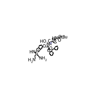 CC(C)(C)OC(=O)Nc1nc(/C(=N/O[C@@H](COc2ccc3c(c2)CN(C(=N)N(CCN)CCN)C3)C(=O)OC(c2ccccc2)c2ccccc2)C(=O)O)cs1